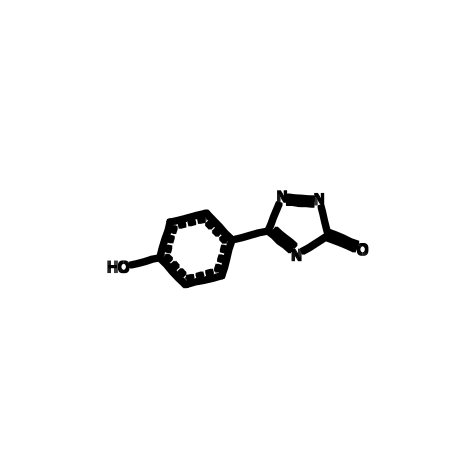 O=C1N=NC(c2ccc(O)cc2)=N1